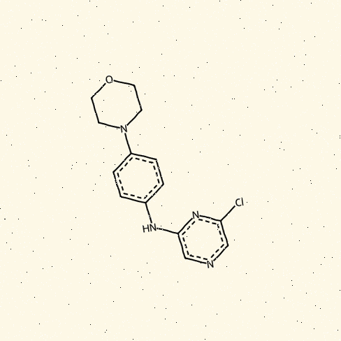 Clc1cncc(Nc2ccc(N3CCOCC3)cc2)n1